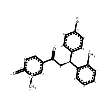 Cc1ccccc1[C@@H](CC(=O)c1cnc(=O)n(C)c1)c1ccc(Br)cc1